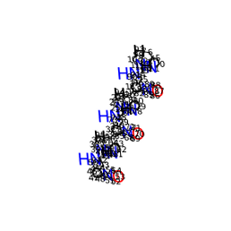 c1cnc2c(c1)CC[C@@H]1CCCN(C[C@H]3Cc4c(cc(C5C[C@@H]6CCCN(C[C@H]7Cc8c(cc(C9C[C@H]%10CCCN(C[C@H]%11Cc%12c(cccc%12N%12CCOCC%12)CN%11)[C@@H]%10c%10ncccc%109)cc8N8CCOCC8)CN7)[C@@H]6c6ncccc65)cc4N4CCOCC4)CN3)[C@@H]21